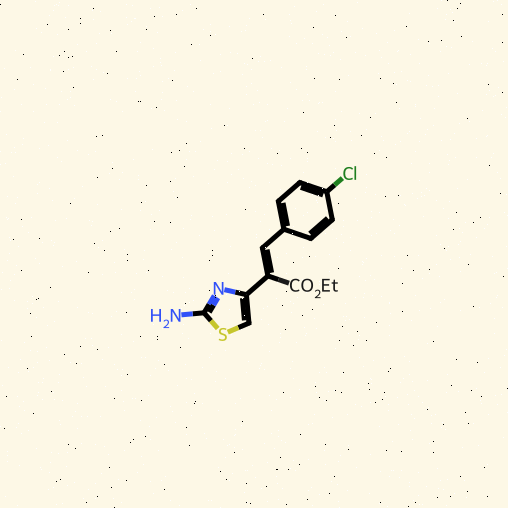 CCOC(=O)/C(=C\c1ccc(Cl)cc1)c1csc(N)n1